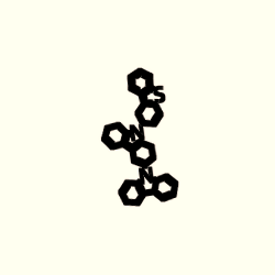 C1=CC2C3=C(C=CCC3)N(C3=Cc4c5c(n(C6C=Cc7sc8ccccc8c7C6)c4CC3)CCC=C5)C2C=C1